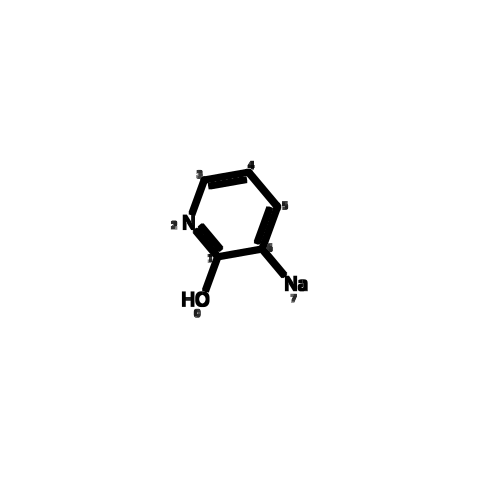 Oc1nccc[c]1[Na]